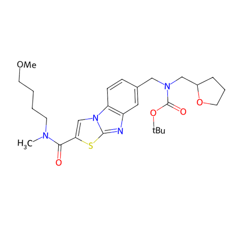 COCCCCN(C)C(=O)c1cn2c(nc3cc(CN(CC4CCCO4)C(=O)OC(C)(C)C)ccc32)s1